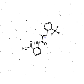 C/C(=C\c1ccccc1C(F)(F)F)C(=O)Nc1ccccc1C(=O)O